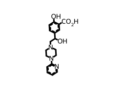 O=C(O)c1cc(C(O)CN2CCN(c3ccccn3)CC2)ccc1O